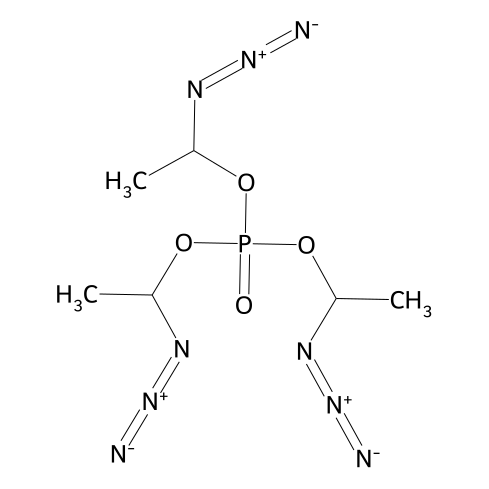 CC(N=[N+]=[N-])OP(=O)(OC(C)N=[N+]=[N-])OC(C)N=[N+]=[N-]